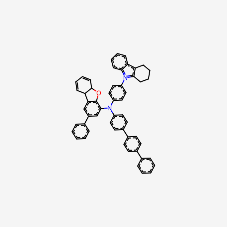 C1=CC2Oc3c(cc(-c4ccccc4)cc3N(c3ccc(-c4ccc(-c5ccccc5)cc4)cc3)c3ccc(-n4c5c(c6ccccc64)CCCC5)cc3)C2C=C1